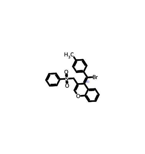 Cc1ccc(/C(Br)=C2\C(CS(=O)(=O)c3ccccc3)=COc3ccccc32)cc1